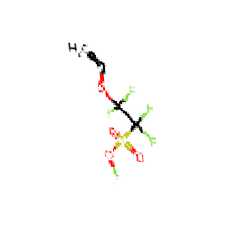 C=COC(F)(F)C(F)(F)S(=O)(=O)OF